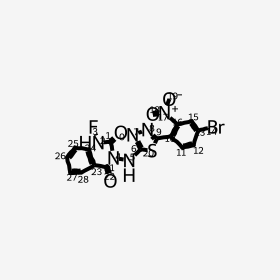 O=C(NF)N(Nc1nnc(-c2ccc(Br)cc2[N+](=O)[O-])s1)C(=O)c1ccccc1